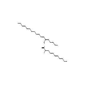 CCCCCCCCCCCCC(CCCCC)COC(=O)C(C)CCCCCCCCC